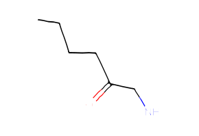 CCCCC(=O)C[NH]